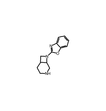 c1ccc2oc(N3CC4CCNCC43)nc2c1